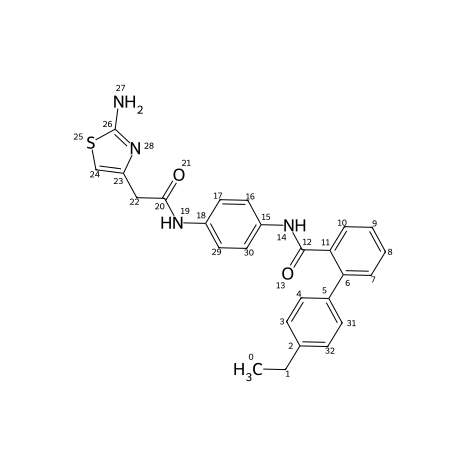 CCc1ccc(-c2ccccc2C(=O)Nc2ccc(NC(=O)Cc3csc(N)n3)cc2)cc1